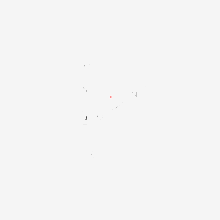 CCCCN1CCC23c4cc(O)ccc4CC1C21CCC2C3[C@@H](CN2C(=O)c2ccccc2)O1